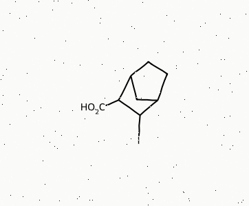 O=C(O)C1C2CCC(C2)C1I